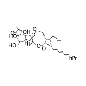 C=C/C=C\C1C2/C=C/CC(=O)O[C@@]34C[C@@H](C)[C@]5(O)C6C=C(C)C(=O)[C@@]6(O)CC(CO)=C[C@H]5[C@@H]3[C@@]4(C)COC(=O)C2C2C(/C=C/C=C/C=C/CCC)C12